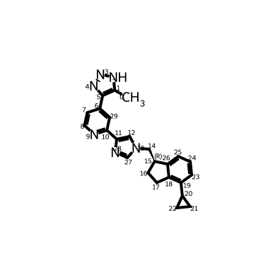 Cc1[nH]nnc1-c1ccnc(-c2cn(C[C@@H]3CCc4c(C5CC5)cccc43)cn2)c1